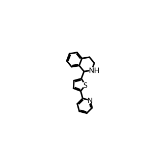 c1ccc(-c2ccc(C3NCCc4ccccc43)s2)nc1